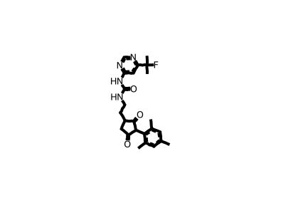 Cc1cc(C)c(C2C(=O)CC(CCNC(=O)Nc3cc(C(C)(C)F)ncn3)C2=O)c(C)c1